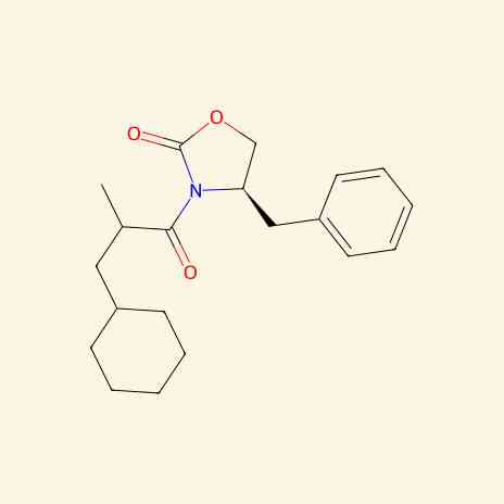 CC(CC1CCCCC1)C(=O)N1C(=O)OC[C@H]1Cc1ccccc1